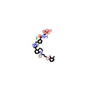 Cc1cccc(OCCCC(=O)N2CCCc3c(-c4cnn(Cc5c(F)ccc(C(=O)NCCS(=O)(=O)O)c5F)c4)cccc32)c1C